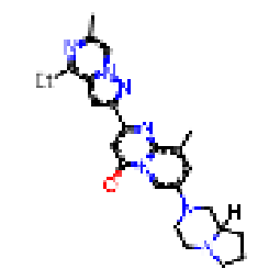 CCc1nc(C)cn2nc(-c3cc(=O)n4cc(N5CCN6CCC[C@H]6C5)cc(C)c4n3)cc12